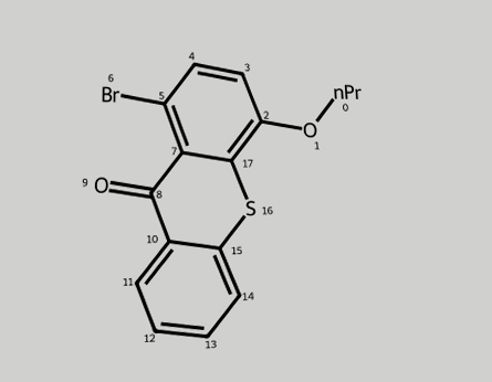 CCCOc1ccc(Br)c2c(=O)c3ccccc3sc12